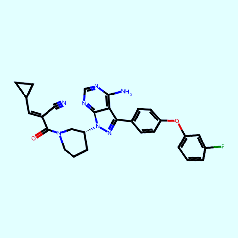 N#C/C(=C\C1CC1)C(=O)N1CCC[C@@H](n2nc(-c3ccc(Oc4cccc(F)c4)cc3)c3c(N)ncnc32)C1